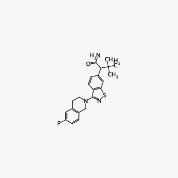 CC(C)(C)C(C(N)=O)c1ccc2c(N3CCc4cc(F)ccc4C3)nsc2c1